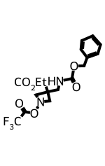 CCOC(=O)C1(CNC(=O)OCc2ccccc2)CN(OC(=O)C(F)(F)F)C1